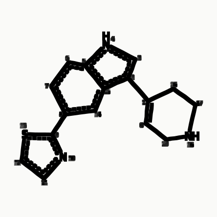 C1=C(c2c[nH]c3ccc(-c4nccs4)cc23)CCNC1